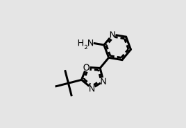 CC(C)(C)c1nnc(-c2cccnc2N)o1